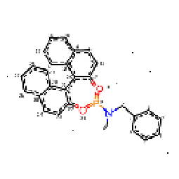 CN(Cc1ccccc1)p1oc2ccc3ccccc3c2c2c(ccc3ccccc32)o1